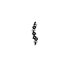 C=CC(=O)Oc1ccc(OC(=O)c2ccc(-c3ccc4cc(OC(=O)C=C)ccc4c3)cc2)cc1